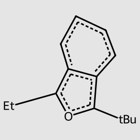 CCc1oc(C(C)(C)C)c2ccccc12